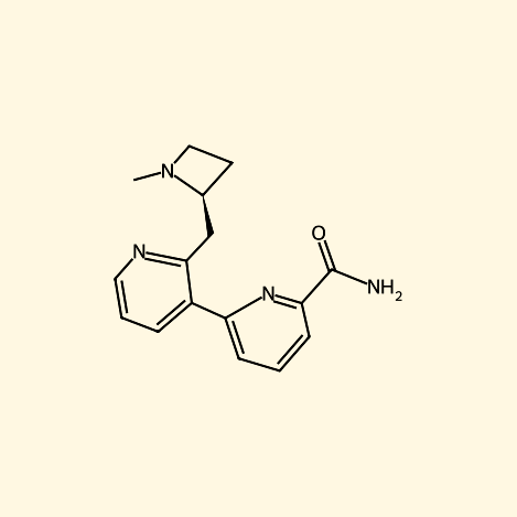 CN1CC[C@H]1Cc1ncccc1-c1cccc(C(N)=O)n1